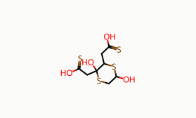 OC(=S)CC1SC(O)CSC1(O)CC(O)=S